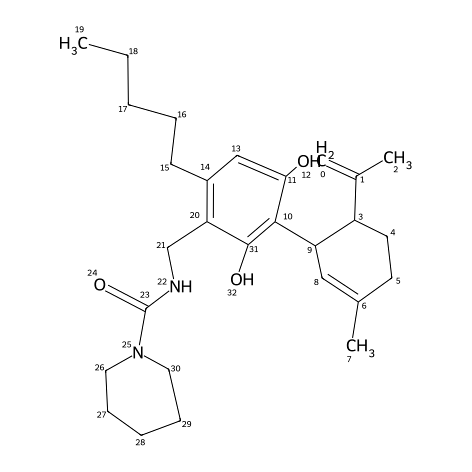 C=C(C)C1CCC(C)=CC1c1c(O)cc(CCCCC)c(CNC(=O)N2CCCCC2)c1O